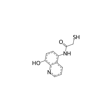 O=C(CS)Nc1ccc(O)c2ncccc12